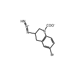 N=[N+]=NC1Cc2cc(Br)ccc2N(C(=O)[O-])C1